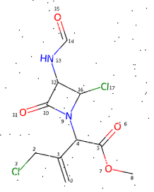 C=C(CCl)C(C(=O)OC)N1C(=O)C(NC=O)C1Cl